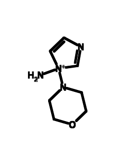 N[N+]1(N2CCOCC2)C=CN=C1